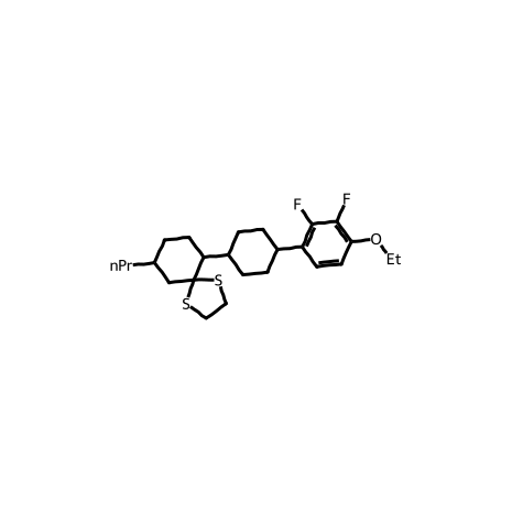 CCCC1CCC(C2CCC(c3ccc(OCC)c(F)c3F)CC2)C2(C1)SCCS2